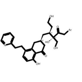 CC(=O)CC(=O)[C@@](O)(CO)[C@H](CCO)C[C@H]1CC(=O)c2c(O)ccc(CCc3ccccn3)c2C1